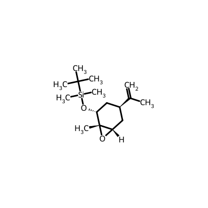 C=C(C)[C@H]1C[C@@H]2O[C@]2(C)[C@H](O[Si](C)(C)C(C)(C)C)C1